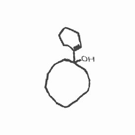 OC1(C2=CCCCC2)CCCCCCCCCCC1